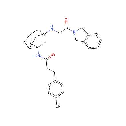 N#Cc1ccc(CCC(=O)NC23CC4CC2CC(NCC(=O)N2Cc5ccccc5C2)(C4)C3)cc1